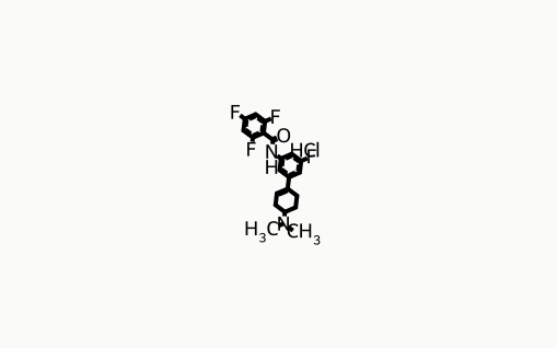 CN(C)C1CC=C(c2cc(F)cc(NC(=O)c3c(F)cc(F)cc3F)c2)CC1.Cl